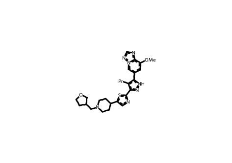 COc1cc(-c2[nH]nc(-c3ncc(C4CCN(CC5CCOC5)CC4)s3)c2C(C)C)cn2ncnc12